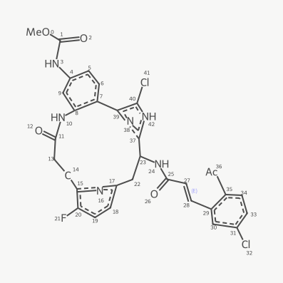 COC(=O)Nc1ccc2c(c1)NC(=O)CCc1nc(ccc1F)CC(NC(=O)/C=C/c1cc(Cl)ccc1C(C)=O)c1nc-2c(Cl)[nH]1